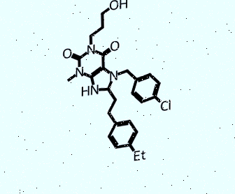 CCc1ccc(CCC2Nc3c(c(=O)n(CCCO)c(=O)n3C)N2Cc2ccc(Cl)cc2)cc1